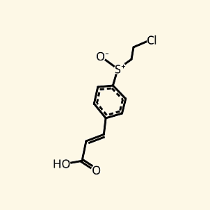 O=C(O)C=Cc1ccc([S+]([O-])CCCl)cc1